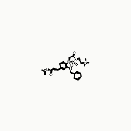 CC(C)NC(=O)C=Cc1ccc(N2CC(=O)N(CC[Si](C)(C)C)S2(=O)=O)c(OCc2ccccc2)c1